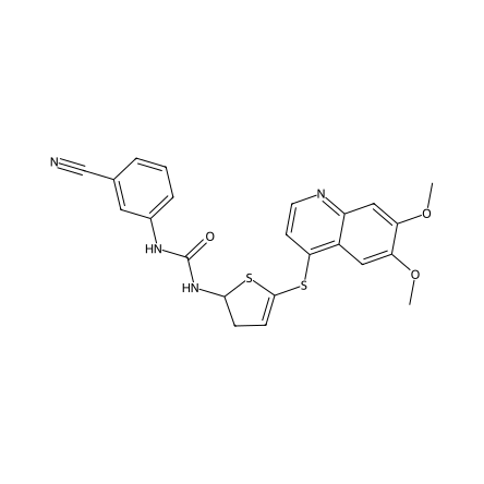 COc1cc2nccc(SC3=CCC(NC(=O)Nc4cccc(C#N)c4)S3)c2cc1OC